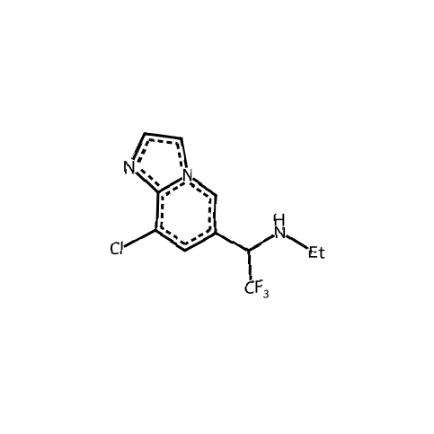 CCNC(c1cc(Cl)c2nccn2c1)C(F)(F)F